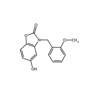 COc1ccccc1Cn1c(=O)oc2ccc(O)cc21